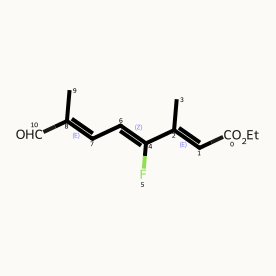 CCOC(=O)/C=C(C)/C(F)=C/C=C(\C)C=O